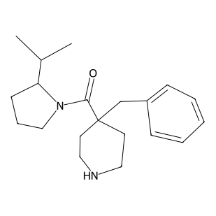 CC(C)C1CCCN1C(=O)C1(Cc2ccccc2)CCNCC1